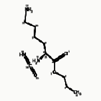 CCCOC(=O)[C@@H](N)CCCCN.N=C=O